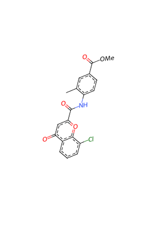 COC(=O)c1ccc(NC(=O)c2cc(=O)c3cccc(Cl)c3o2)c(C)c1